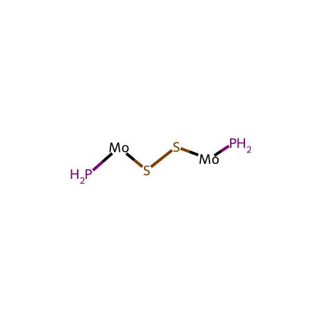 [PH2][Mo][S][S][Mo][PH2]